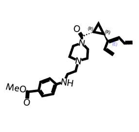 C=C/C=C(\C=C)[C@@H]1C[C@H]1C(=O)N1CCN(CCNc2ccc(C(=O)OC)cc2)CC1